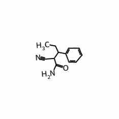 CCC(c1ccccc1)C(C#N)C(N)=O